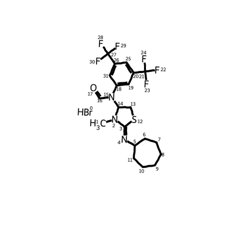 Br.CN1C(=NC2CCCCCC2)SCC1N(C=O)c1cc(C(F)(F)F)cc(C(F)(F)F)c1